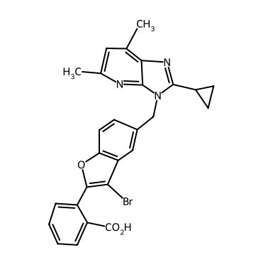 Cc1cc(C)c2nc(C3CC3)n(Cc3ccc4oc(-c5ccccc5C(=O)O)c(Br)c4c3)c2n1